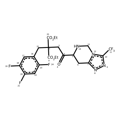 CCOC(=O)C(CC(=O)C1Cc2nnc(C(F)(F)F)n2CN1)(Cc1cc(F)c(F)cc1F)C(=O)OCC